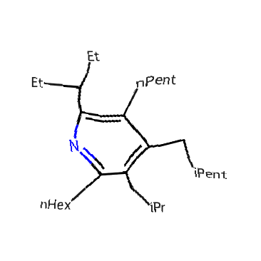 CCCCCCc1nc(C(CC)CC)c(CCCCC)c(CC(C)CCC)c1C(C)C